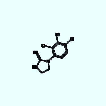 CC(C)c1c(Cl)ccc(N2CCNC2=N)c1Cl